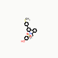 CCC1c2ccccc2-c2cc(-c3ccc(SC)cc3)ccc2N1S(=O)(=O)c1ccc(O)cc1